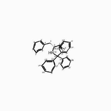 O=C[C@@H](Cc1ccccc1)NC(c1ccccc1)(c1ccccc1)c1ccccc1